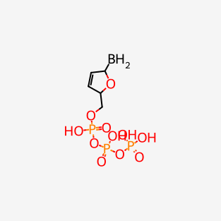 BC1C=CC(COP(=O)(O)OP(=O)(O)OP(=O)(O)O)O1